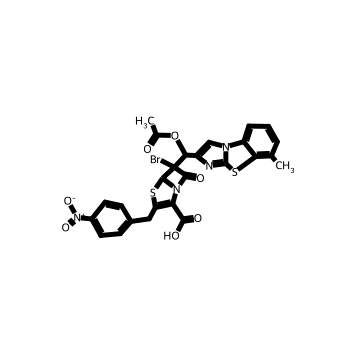 CC(=O)OC(c1cn2c(n1)sc1c(C)cccc12)C1(Br)C(=O)N2C(C(=O)O)=C(Cc3ccc([N+](=O)[O-])cc3)SC21